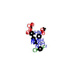 COC(=O)COc1cc(C)c(-c2cc3c(N[C@H]4CC[C@H](NC(=O)OC(C)(C)C)CC4)c(C(N)=Nc4cc(F)ccc4Cl)cnn3c2)cc1OC